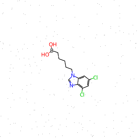 OB(O)CCCCCn1cnc2c(Cl)cc(Cl)cc21